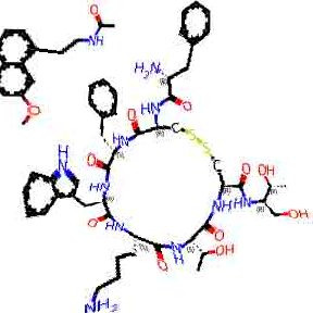 CC(O)[C@@H]1NC(=O)[C@H](CCCCN)NC(=O)[C@@H](Cc2c[nH]c3ccccc23)NC(=O)[C@H](Cc2ccccc2)NC(=O)[C@@H](NC(=O)[C@H](N)Cc2ccccc2)CSSC[C@@H](C(=O)N[C@H](CO)[C@@H](C)O)NC1=O.COc1ccc2cccc(CCNC(C)=O)c2c1